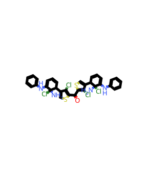 NC1(Cl)C(Nc2ccccc2)=CC=CC1c1csc(C(=O)c2scc(C3C=CC=C(Nc4ccccc4)C3(N)Cl)c2Cl)c1Cl